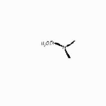 CCN(C)C.O